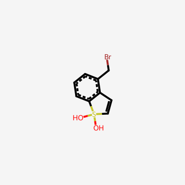 OS1(O)C=Cc2c(CBr)cccc21